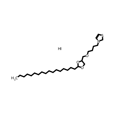 CCCCCCCCCCCCCCCCCC1OCC(COCCCCN2C=CSC2)O1.I